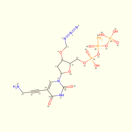 [N-]=[N+]=NCOC1CC(n2cc(C#CCN)c(=O)[nH]c2=O)OC1COP(=O)(O)OP(=O)(P)OP(=O)(O)O